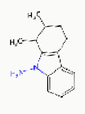 CC1CCc2c(n(N)c3ccccc23)C1C